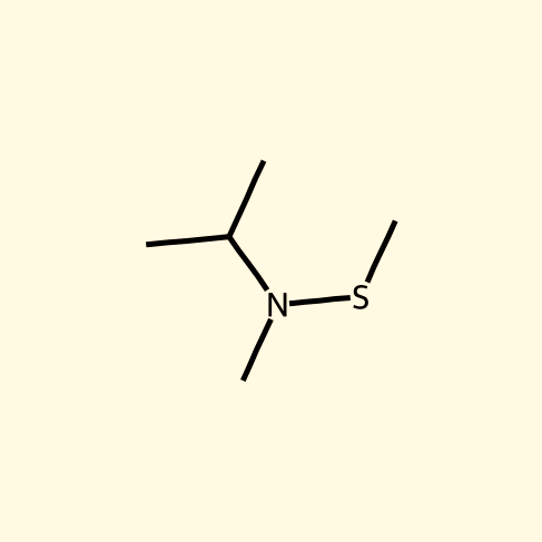 CSN(C)C(C)C